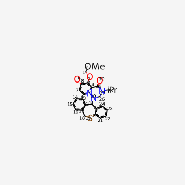 COCOc1c2n(ccc1=O)N(C1c3ccccc3CSc3ccccc31)CN(C(C)C)C2=O